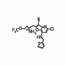 C#Cc1c(C[C@@H](N)CCOC(F)(F)F)oc2c(NCc3cccs3)cc(Cl)nc12